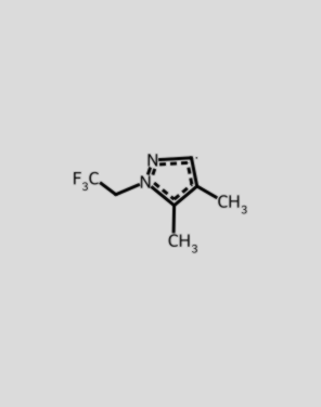 Cc1[c]nn(CC(F)(F)F)c1C